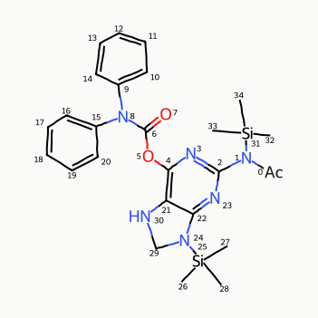 CC(=O)N(c1nc(OC(=O)N(c2ccccc2)c2ccccc2)c2c(n1)N([Si](C)(C)C)CN2)[Si](C)(C)C